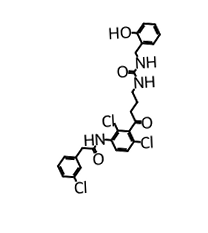 O=C(Cc1cccc(Cl)c1)Nc1ccc(Cl)c(C(=O)CCCNC(=O)NCc2ccccc2O)c1Cl